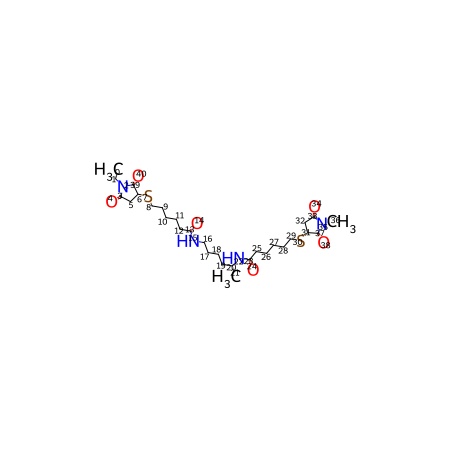 CCN1C(=O)CC(SCCCCCC(=O)NCCCC[C@@H](C)NC(=O)CCCCCSC2CC(=O)N(C)C2=O)C1=O